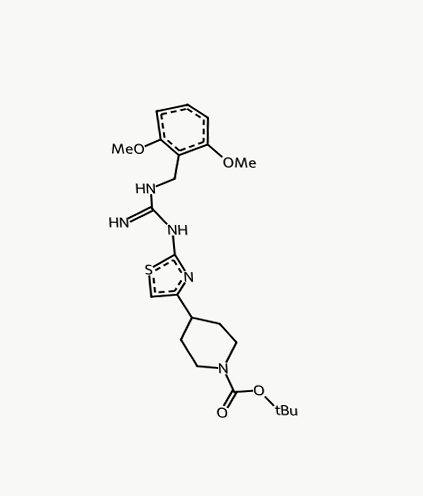 COc1cccc(OC)c1CNC(=N)Nc1nc(C2CCN(C(=O)OC(C)(C)C)CC2)cs1